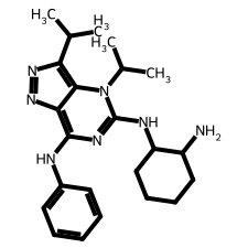 CC(C)c1nnc2c(Nc3ccccc3)nc(NC3CCCCC3N)n(C(C)C)c1-2